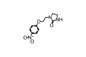 O=C1NCCN1CCOc1ccc([N+](=O)[O-])cc1